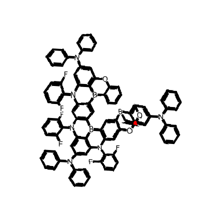 Fc1cccc(F)c1N1c2cc3c(cc2B2c4ccccc4Oc4cc(N(c5ccccc5)c5ccccc5)cc1c42)B1c2cc4c(cc2N(c2c(F)cccc2F)c2cc(N(c5ccccc5)c5ccccc5)cc(c21)N3c1c(F)cccc1F)Oc1cc(N(c2ccccc2)c2ccccc2)cc2c1B4c1ccccc1O2